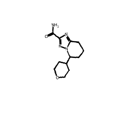 NC(=O)c1nc2n(n1)C(C1CCOCC1)CCC2